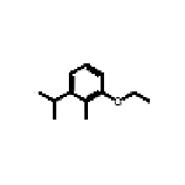 [CH2]C(C)c1cccc(OCC)c1C